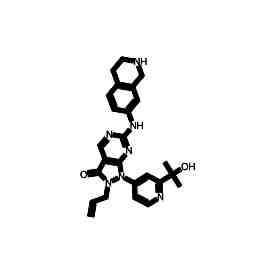 C=CCn1c(=O)c2cnc(Nc3ccc4c(c3)CNCC4)nc2n1-c1ccnc(C(C)(C)O)c1